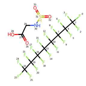 FC(F)(F)C(F)(F)C(F)(F)C(F)(F)C(F)(F)C(F)(F)C(F)(F)C(F)(F)F.O=C(O)CN[SH](=O)=O